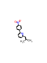 CC(C)=Cc1cccc(-c2ccc([N+](=O)[O-])cc2)n1